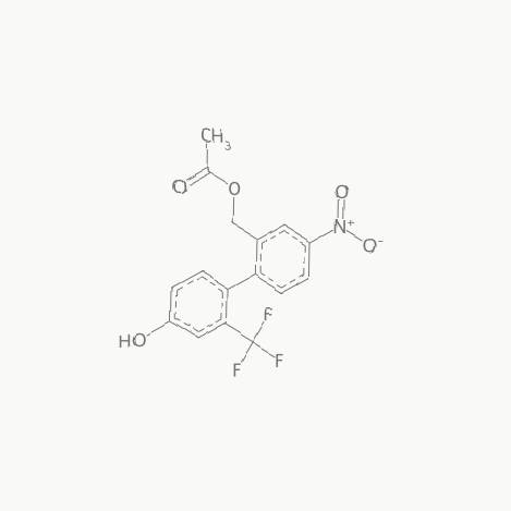 CC(=O)OCc1cc([N+](=O)[O-])ccc1-c1ccc(O)cc1C(F)(F)F